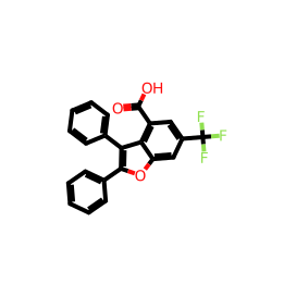 O=C(O)c1cc(C(F)(F)F)cc2oc(-c3ccccc3)c(-c3ccccc3)c12